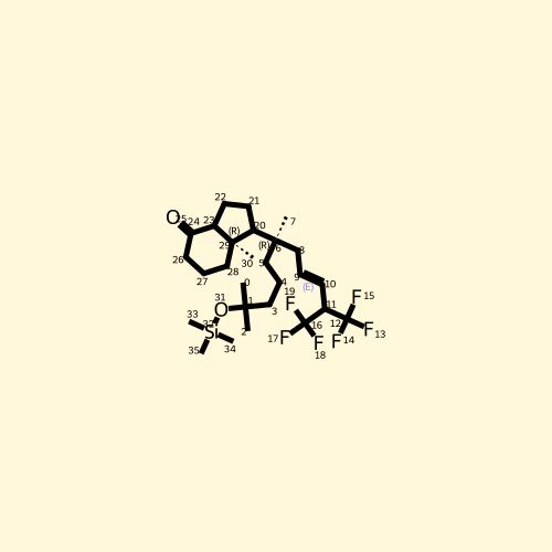 CC(C)(CCC[C@](C)(C/C=C/C(C(F)(F)F)C(F)(F)F)C1CCC2C(=O)CCC[C@@]21C)O[Si](C)(C)C